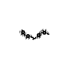 CCOc1ccc(C(F)(F)Oc2ccc(OCCC(C)CCOc3ccc(OC(F)(F)c4ccc(C)c(F)c4F)c(F)c3F)c(F)c2F)c(F)c1F